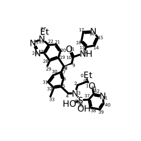 CC[C@@H]1CN(Cc2cc([C@H](CC(=O)Nc3ccncc3)c3ccc4c(nnn4CC)c3C)ccc2C)S(O)(O)c2cccnc2O1